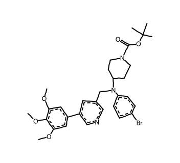 COc1cc(-c2cncc(CN(c3ccc(Br)cc3)C3CCN(C(=O)OC(C)(C)C)CC3)c2)cc(OC)c1OC